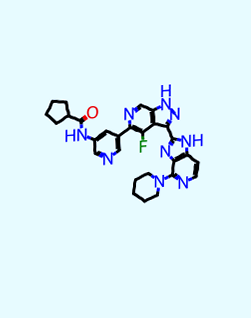 O=C(Nc1cncc(-c2ncc3[nH]nc(-c4nc5c(N6CCCCC6)nccc5[nH]4)c3c2F)c1)C1CCCC1